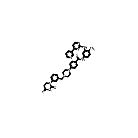 Cc1ccc(NC(=O)c2ccc(N3CCN(Cc4cccc(N5CCC(=O)NC5=O)c4)CC3)cc2)cc1Nc1nccc(-c2cccnc2)n1